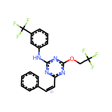 FC(F)(F)COc1nc(/C=C\c2ccccc2)nc(Nc2cccc(C(F)(F)F)c2)n1